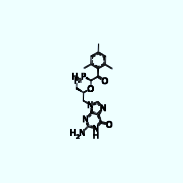 Cc1cc(C)c(C(=O)[C@H](P)O[C@H](CF)Cn2cnc3c(=O)[nH]c(N)nc32)c(C)c1